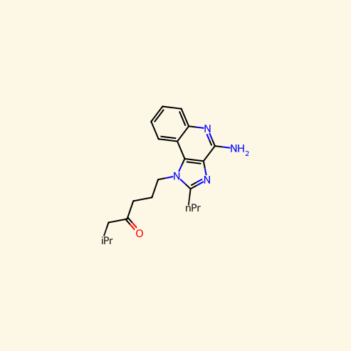 CCCc1nc2c(N)nc3ccccc3c2n1CCCC(=O)CC(C)C